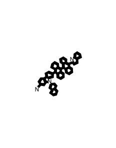 N#Cc1ccc2c3ccc(-c4c5ccccc5c(-c5c6ccccc6c(-c6ccc7ccccc7n6)c6ccccc56)c5ccccc45)cc3n(-c3ccc4ccccc4c3)c2c1